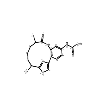 CCC1CCCC(N)c2nc(c[nH]2)-c2ccc(NC(=O)OC)cc2NC1=O